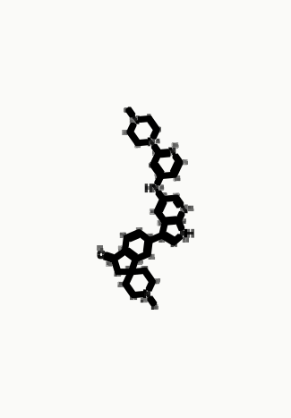 CN1CCN(c2cc(Nc3cnc4[nH]cc(-c5ccc6c(c5)C5(CCN(C)CC5)CC6=O)c4c3)ccn2)CC1